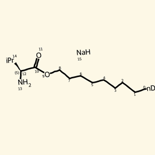 CCCCCCCCCCCCCCCCCCOC(=O)[C@@H](N)C(C)C.[NaH]